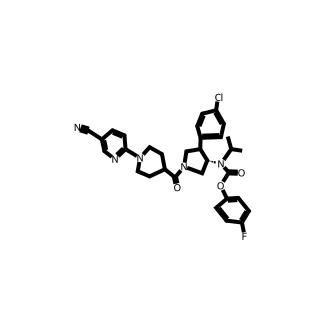 CC(C)N(C(=O)Oc1ccc(F)cc1)[C@@H]1CN(C(=O)C2CCN(c3ccc(C#N)cn3)CC2)CC1c1ccc(Cl)cc1